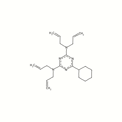 C=CCN(CC=C)c1nc(C2CCCCC2)nc(N(CC=C)CC=C)n1